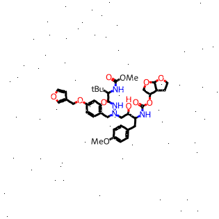 COC(=O)NC(C(=O)NN(Cc1ccc(OCc2ccoc2)cc1)CC(O)C(Cc1ccc(OC)cc1)NC(=O)OC1COC2OCCC12)C(C)(C)C